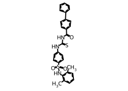 Cc1cccc(C)c1NS(=O)(=O)c1ccc(NC(=S)NC(=O)c2ccc(-c3ccccc3)cc2)cc1